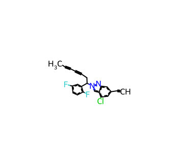 C#Cc1cc(Cl)c2cn(C(CC#CC#CC)c3cc(F)ccc3F)nc2c1